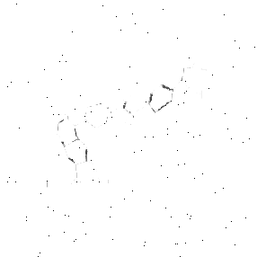 CCC(C)c1ccc(NC(=O)N2CCC(c3ncnc4cc(OC)c(OC)cc34)CC2)cc1